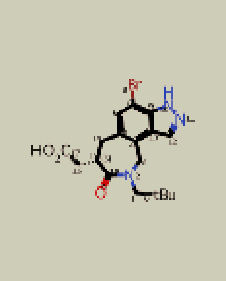 CC(C)(C)CN1Cc2c(cc(Br)c3[nH]ncc23)C[C@@H](CC(=O)O)C1=O